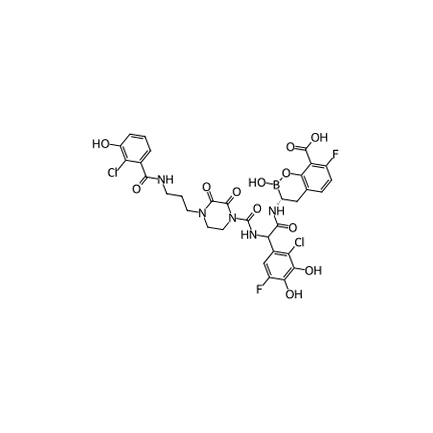 O=C(NCCCN1CCN(C(=O)NC(C(=O)N[C@H]2Cc3ccc(F)c(C(=O)O)c3OB2O)c2cc(F)c(O)c(O)c2Cl)C(=O)C1=O)c1cccc(O)c1Cl